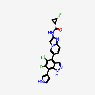 O=C(Nc1cn2cc(-c3c(Cl)c(F)c(-c4cc[nH]c4)c4[nH]ncc34)ccc2n1)[C@@H]1C[C@@H]1F